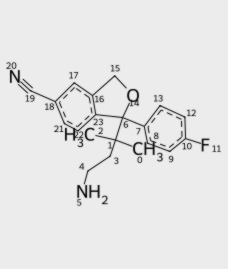 CC(C)(CCN)C1(c2ccc(F)cc2)OCc2cc(C#N)ccc21